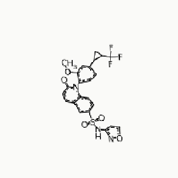 COc1cc(C2CC2C(F)(F)F)ccc1-n1c(=O)ccc2cc(S(=O)(=O)Nc3ccon3)ccc21